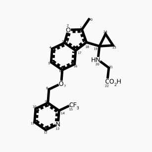 Cc1oc2ccc(OCc3cccnc3C(F)(F)F)cc2c1C1(NCC(=O)O)CC1